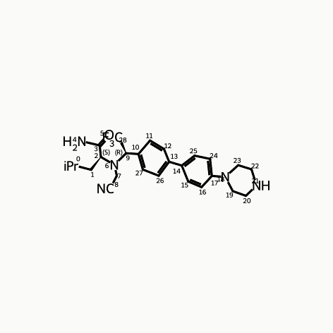 CC(C)C[C@@H](C(N)=O)N(CC#N)[C@H](c1ccc(-c2ccc(N3CCNCC3)cc2)cc1)C(F)(F)F